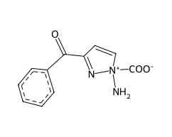 N[N+]1(C(=O)[O-])C=CC(C(=O)c2ccccc2)=N1